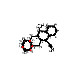 Cc1c2c(c(C#N)c3ccccc13)C1c3ccccc3C2c2ccccc21